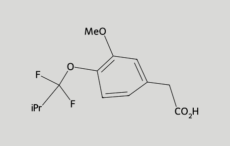 COc1cc(CC(=O)O)ccc1OC(F)(F)C(C)C